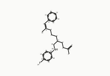 C=C(C)CCC(CCC/C(C)=C\c1ccccc1)CNc1ccc(F)cc1